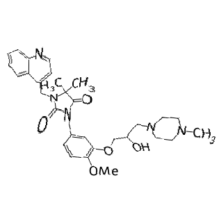 COc1ccc(N2C(=O)N(Cc3ccnc4ccccc34)C(C)(C)C2=O)cc1OCC(O)CN1CCN(C)CC1